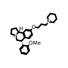 COc1ccccc1[C@@H]1CN2CCC[C@H]2c2cc(OCCCN3CCCCC3)ccc21